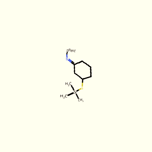 CCCCCN=C1CCCC(S[Si](C)(C)C)C1